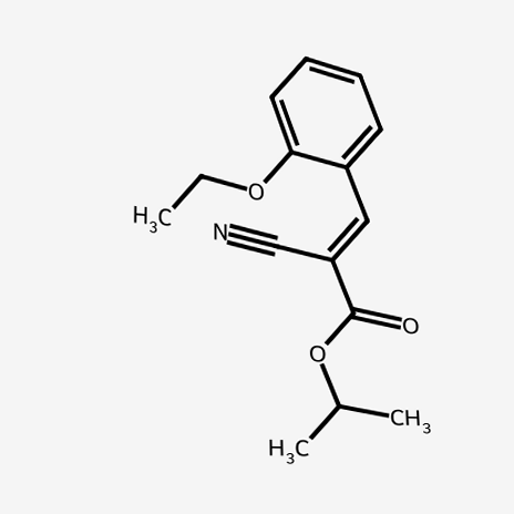 CCOc1ccccc1/C=C(\C#N)C(=O)OC(C)C